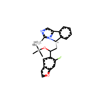 CC(C)(C)[Si](C)(C)OC(C[C@H]1c2ccccc2-c2cnc(C(=O)O)n21)c1cc2ccoc2cc1F